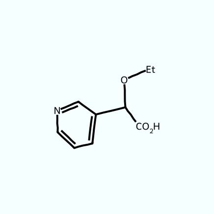 CCOC(C(=O)O)c1cccnc1